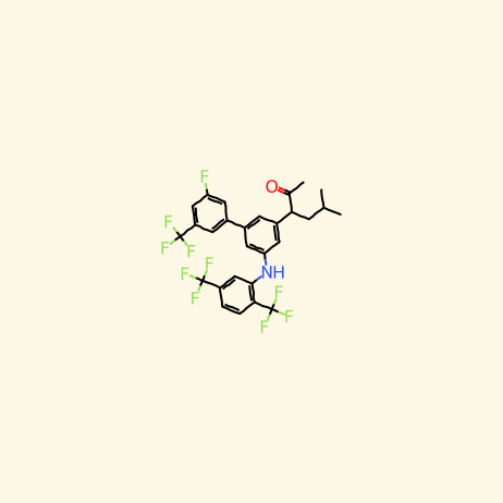 CC(=O)C(CC(C)C)c1cc(Nc2cc(C(F)(F)F)ccc2C(F)(F)F)cc(-c2cc(F)cc(C(F)(F)F)c2)c1